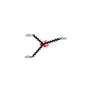 CCCCCCCCC=CCCCCCCCC(=O)C(O)(C(O)C(=O)CCCCCCCCCCCCCCCCCCCCC)C(O)C(=O)CCCCCCCCCCCCCCCCCCCCC